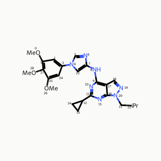 COc1cc(-n2cnc(Nc3nc(C4CC4)nc4c3cnn4CC(C)C)c2)cc(OC)c1OC